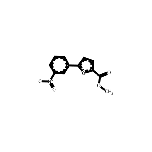 COC(=O)c1ccc(-c2cccc([N+](=O)[O-])c2)o1